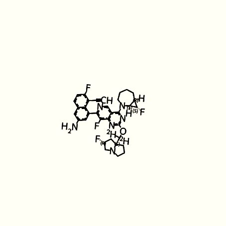 [2H]C([2H])(Oc1nc(N2CCCC[C@H]3[C@H](F)[C@H]32)c2cnc(-c3cc(N)cc4ccc(F)c(C#C)c34)c(F)c2n1)[C@@]12CCCN1C[C@H](F)C2